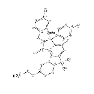 CC[C@@](O)(c1cc(F)c2c(c1)C(=O)N(Cc1ccc(Cl)cc1)[C@@]2(OC)c1ccc(Cl)cc1)C1CCN(CCC(=O)O)CC1